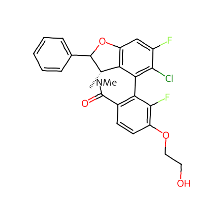 CNC(=O)c1ccc(OCCO)c(F)c1-c1c(Cl)c(F)cc2c1[C@H](C)C(c1ccccc1)O2